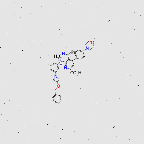 C/N=C(\c1c(-c2ccc(N3CCOCC3)cc2)cc(C(=O)O)nc1Nc1cccc(N2CC(OCc3ccccc3)C2)c1)C(C)C